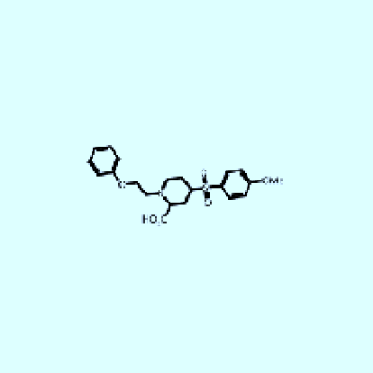 COc1ccc(S(=O)(=O)C2CCN(CCOc3ccccc3)C(C(=O)O)C2)cc1